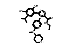 CCNC(=O)c1nnc(-c2cc(C(C)C)c(O)cc2O)n1-c1ccc(N(C)C2CCNCC2)nc1